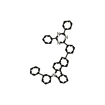 c1ccc(-c2cccc(-n3c4ccccc4c4c5ccc(-c6cccc(-c7nc(-c8ccccc8)nc(-c8ccccc8)n7)c6)cc5ccc43)c2)cc1